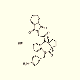 Br.Nc1ccc(CN2C(=O)[C@H]3CCC[C@H]3N(C(=O)CN3C(=O)c4ccccc4C3=O)c3ccccc32)cc1